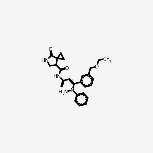 C=C(/C=C(/c1cccc(COCC(F)(F)F)c1)N(N)c1ccccc1)NC(=O)C1CNC(=O)C12CC2